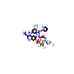 CCOc1cc2ncc(C#N)c(Nc3ccc(OCc4ccccn4)c(Cl)c3)c2cc1NC(=O)C1OC1CN(C)C